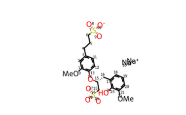 COc1cc(CCCS(=O)(=O)[O-])ccc1O[C@H](Cc1cccc(OC)c1O)CS(=O)(=O)[O-].[Na+].[Na+]